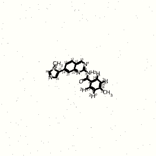 [2H]c1c([2H])c(C(=O)Nc2ncc3ccc(-c4cncn4C)cc3n2)c([2H])c([2H])c1C